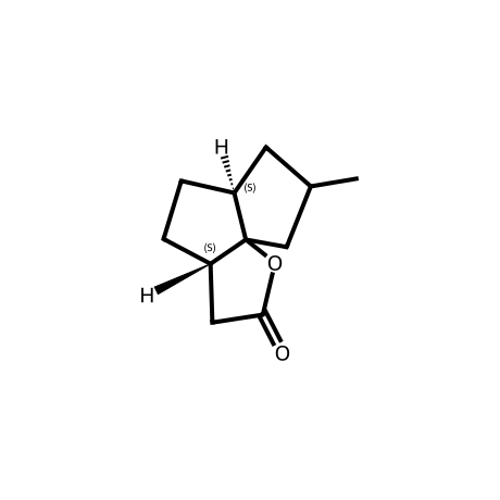 CC1C[C@@H]2CC[C@H]3CC(=O)OC32C1